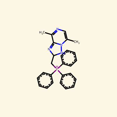 CC1=CN=C(C)C2=NC(C[PH](c3ccccc3)(c3ccccc3)c3ccccc3)NN12